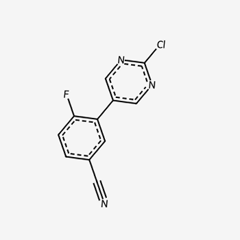 N#Cc1ccc(F)c(-c2cnc(Cl)nc2)c1